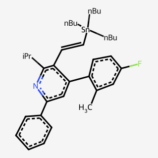 CCC[CH2][Sn]([CH]=Cc1c(-c2ccc(F)cc2C)cc(-c2ccccc2)nc1C(C)C)([CH2]CCC)[CH2]CCC